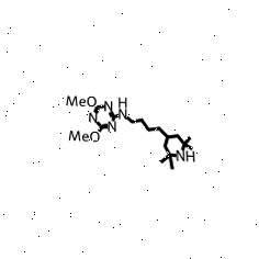 COc1nc(NCCCCC2CC(C)(C)NC(C)(C)C2)nc(OC)n1